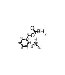 BC(=O)OCc1ccccc1.CN(C)C